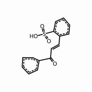 O=C(C=Cc1ccccc1S(=O)(=O)O)c1ccccc1